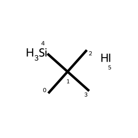 CC(C)(C)[SiH3].I